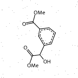 COC(=O)c1cccc(C(O)C(=O)OC)c1